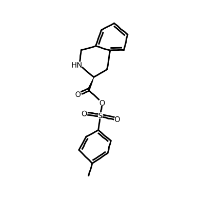 Cc1ccc(S(=O)(=O)OC(=O)[C@@H]2Cc3ccccc3CN2)cc1